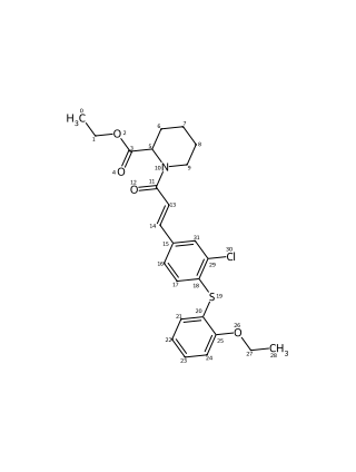 CCOC(=O)C1CCCCN1C(=O)C=Cc1ccc(Sc2ccccc2OCC)c(Cl)c1